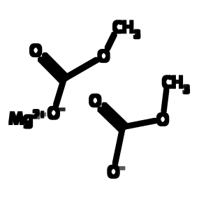 COC(=O)[O-].COC(=O)[O-].[Mg+2]